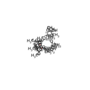 CC[C@H]1OC(=O)[C@H](C)[C@@H](O[C@H]2C[C@@](C)(OC)[C@@H](O)[C@H](C)O2)[C@H](C)[C@@H](O[C@@H]2O[C@H](C)C[C@H](N(C)C)[C@H]2Oc2ccc(OC)cc2OC)[C@](C)(O)C[C@@H](C)CN(C)[C@H](C)[C@@H](O)[C@]1(C)O